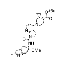 COc1cn2nc(C)cc2cc1NC(=O)N1CCc2c(N3CCN(C(=O)OC(C)(C)C)C4(CC4)C3)ccnc21